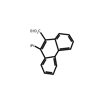 CCOC(=O)c1c(C(C)C)c2ccccc2c2ccccc12